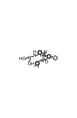 Cc1ccc(C=NNC(=O)c2cc(N3CCCCC3)ccc2NC(=O)c2cccc(CNCCN(CCO)CCO)c2)cc1C